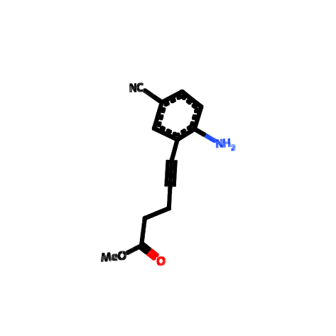 COC(=O)CCC#Cc1cc(C#N)ccc1N